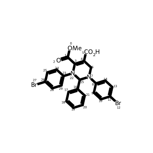 COC(=O)C1=C(C(=O)O)CN(c2ccc(Br)cc2)C(c2ccccc2)N1c1ccc(Br)cc1